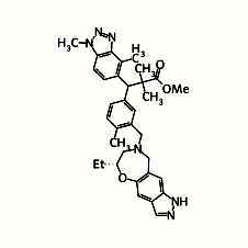 CC[C@@H]1CN(Cc2cc(C(c3ccc4c(nnn4C)c3C)C(C)(C)C(=O)OC)ccc2C)Cc2cc3[nH]ncc3cc2O1